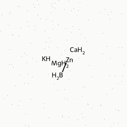 [BH2][Zn].[CaH2].[KH].[MgH2]